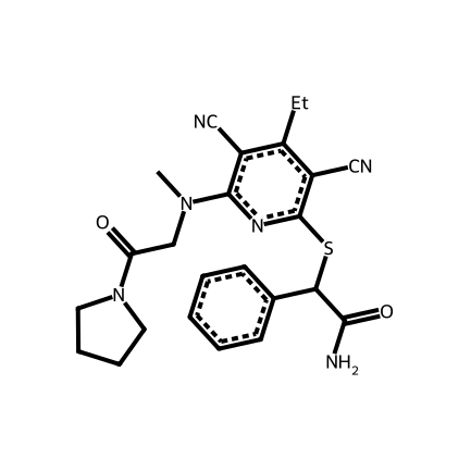 CCc1c(C#N)c(SC(C(N)=O)c2ccccc2)nc(N(C)CC(=O)N2CCCC2)c1C#N